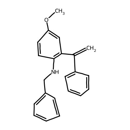 C=C(c1ccccc1)c1cc(OC)ccc1NCc1ccccc1